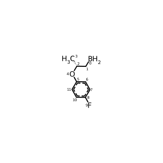 BC[C@@H](C)Oc1ccc(F)cc1